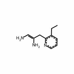 CCc1cccnc1CC(N)=CN